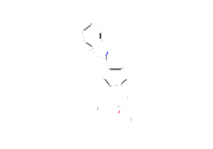 CCOP(=O)(Cc1ccc(-c2nc3ccccc3s2)cc1)OC(C)C